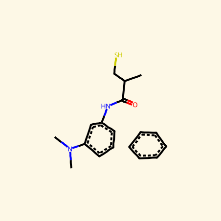 CC(CS)C(=O)Nc1cccc(N(C)C)c1.c1ccccc1